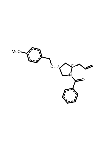 C=CC[C@@H]1C[C@@H](OCc2ccc(OC)cc2)CN1C(=O)c1ccccc1